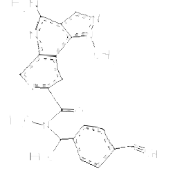 C#Cc1ccc(C(C)N(C)C(=O)c2cc3c(cn2)nc(N)c2cnn(C)c23)cc1